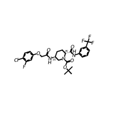 CC(C)(C)OC(=O)N1C[C@@H](NC(=O)COc2ccc(Cl)c(F)c2)CC[C@@H]1C(=O)Nc1cccc(C(F)(F)F)c1